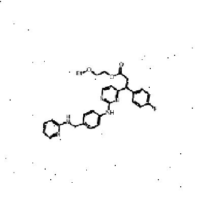 CCOCCOC(=O)CC(c1ccc(F)cc1)c1ccnc(Nc2ccc(CNc3ccccn3)cc2)n1